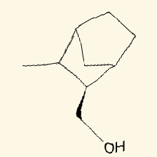 CC1C2CCC(C2)[C@H]1CO